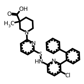 CC1(C(=O)O)CCCN(c2cccc(SNc3ccc(Cl)c(-c4ccccc4-c4ccccc4)n3)n2)C1